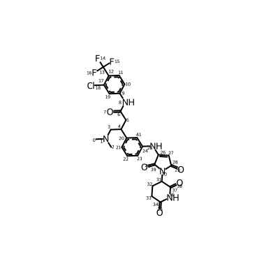 CN(C)CC(CC(=O)Nc1ccc(C(F)(F)F)c(Cl)c1)c1cccc(NC2=CC(=O)N(C3CCC(=O)NC3=O)C2=O)c1